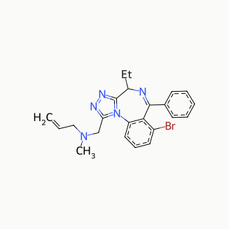 C=CCN(C)Cc1nnc2n1-c1cccc(Br)c1C(c1ccccc1)=NC2CC